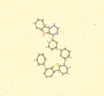 c1ccc(-c2cccc3c2sc2c(-c4cccc(-c5cccc(-c6ncnc7c6oc6ccccc67)c5)c4)cccc23)cc1